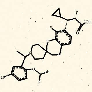 CC(c1cc(Cl)ccc1OC(F)F)N1CCC2(CCc3ccc([C@H](C4CC4)[C@H](C)C(=O)O)c(F)c3O2)CC1